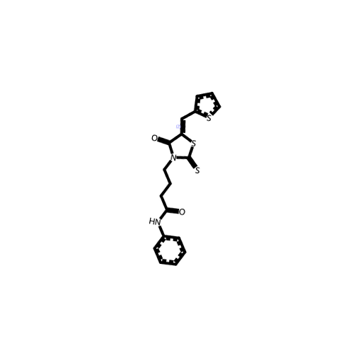 O=C(CCCN1C(=O)/C(=C/c2cccs2)SC1=S)Nc1ccccc1